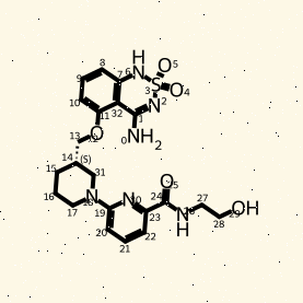 NC1=NS(=O)(=O)Nc2cccc(OC[C@H]3CCCN(c4cccc(C(=O)NCCO)n4)C3)c21